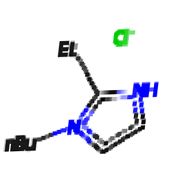 CCCC[n+]1cc[nH]c1CC.[Cl-]